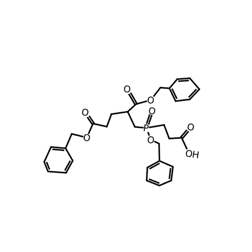 O=C(O)CCP(=O)(CC(CCC(=O)OCc1ccccc1)C(=O)OCc1ccccc1)OCc1ccccc1